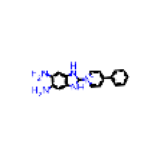 Nc1cc2c(cc1N)NC([n+]1ccc(-c3ccccc3)cc1)N2